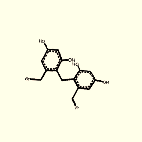 Oc1cc(O)c(Cc2c(O)cc(O)cc2CBr)c(CBr)c1